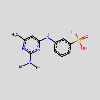 CCN(CC)c1nc(C)cc(Nc2cccc(P(=O)(O)O)c2)n1